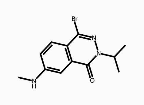 CNc1ccc2c(Br)nn(C(C)C)c(=O)c2c1